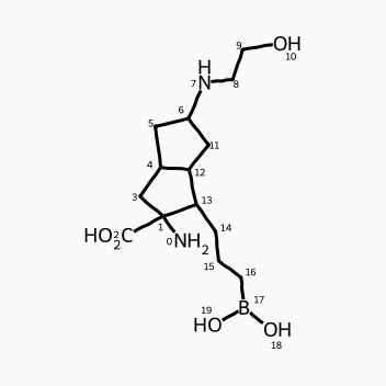 NC1(C(=O)O)CC2CC(NCCO)CC2C1CCCB(O)O